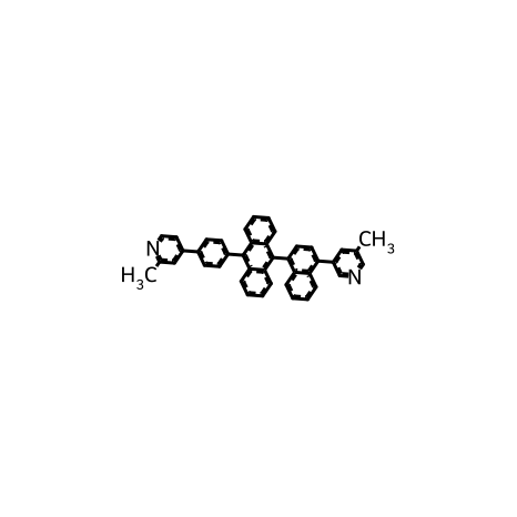 Cc1cncc(-c2ccc(-c3c4ccccc4c(-c4ccc(-c5ccnc(C)c5)cc4)c4ccccc34)c3ccccc23)c1